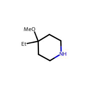 CCC1(OC)CCNCC1